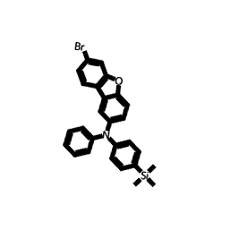 C[Si](C)(C)c1ccc(N(c2ccccc2)c2ccc3oc4cc(Br)ccc4c3c2)cc1